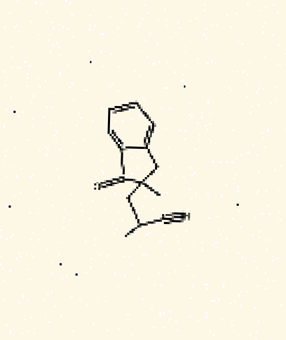 CC(C#N)CC1(C)Cc2ccccc2C1=O